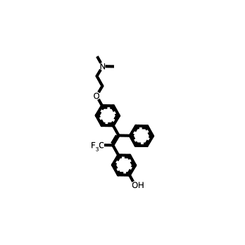 CN(C)CCOc1ccc(/C(=C(/c2ccc(O)cc2)C(F)(F)F)c2ccccc2)cc1